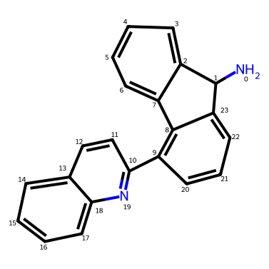 NC1c2ccccc2-c2c(-c3ccc4ccccc4n3)cccc21